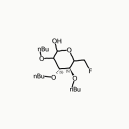 CCCCOC1C(O)OC(CF)[C@@H](OCCCC)[C@@H]1OCCCC